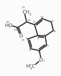 COc1ccc2c(c1)CCC=C2C(C)C(=O)O